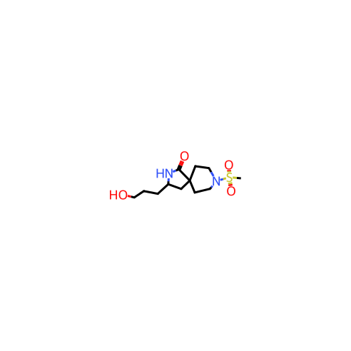 CS(=O)(=O)N1CCC2(CC1)CC(CCCO)NC2=O